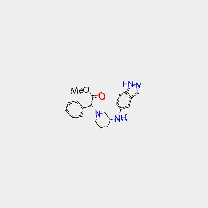 COC(=O)C(c1ccccc1)N1CCCC(Nc2ccc3[nH]ncc3c2)C1